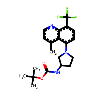 Cc1ccnc2c(C(F)(F)F)ccc(N3CCC(NC(=O)OC(C)(C)C)C3)c12